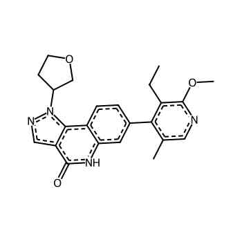 CCc1c(OC)ncc(C)c1-c1ccc2c(c1)[nH]c(=O)c1cnn(C3CCOC3)c12